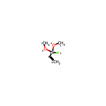 C=C[Si](F)(OC)OC